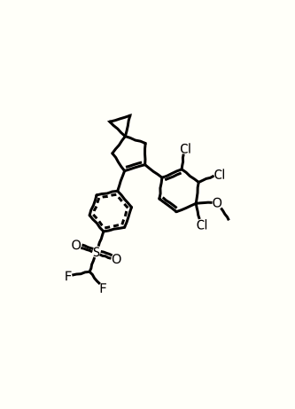 COC1(Cl)C=CC(C2=C(c3ccc(S(=O)(=O)C(F)F)cc3)CC3(CC3)C2)=C(Cl)C1Cl